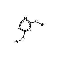 CC(C)Oc1ccnc(OC(C)C)n1